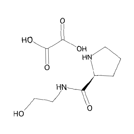 O=C(NCCO)[C@@H]1CCCN1.O=C(O)C(=O)O